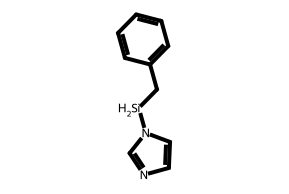 c1ccc(C[SiH2]n2ccnc2)cc1